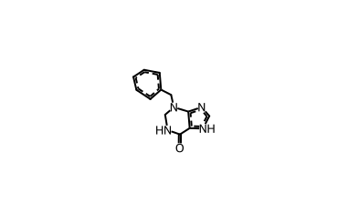 O=C1NCN(Cc2ccccc2)c2nc[nH]c21